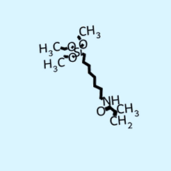 C=C(C)C(=O)NCCCCCCCC[Si](OCC)(OCC)OCC